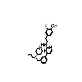 CCCN(Cc1cccc(-c2ccnc(NCCc3ccc(O)c(F)c3)n2)c1)C1CCNCC1